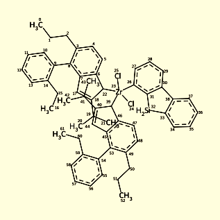 CCCc1ccc2c(c1-c1ccccc1CC)C=C(C(C)C)[CH]2[Zr]([Cl])([Cl])([c]1cccc2c1[SiH2]c1ccccc1-2)[CH]1C(C(C)C)=Cc2c1ccc(CCC)c2-c1ccccc1CC